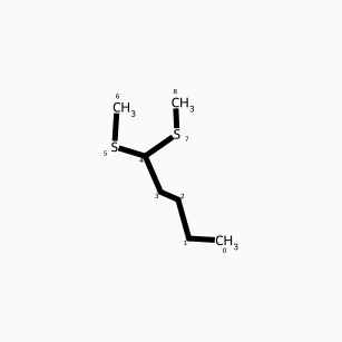 CCCCC(SC)SC